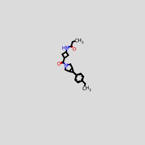 CCC(=O)NC1CC(C(=O)N2CC3C(C2)C3c2ccc(CC)cc2)C1